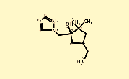 CCC1CC(C)(C)C(O)(Cn2cncn2)C1